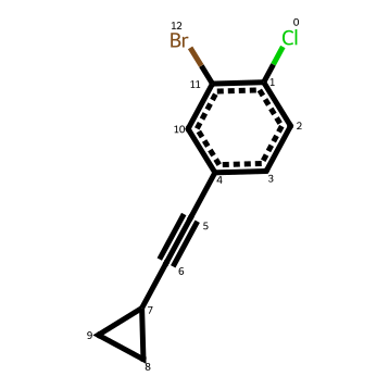 Clc1ccc(C#CC2CC2)cc1Br